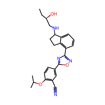 CC[C@@H](O)CNC1CCc2c(-c3noc(-c4ccc(OC(C)C)c(C#N)c4)n3)cccc21